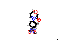 O=C1COCCCN1c1ccc([N+](=O)[O-])cc1